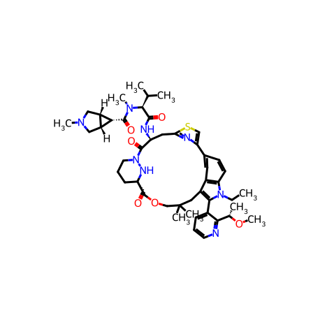 CCn1c(-c2cccnc2[C@H](C)OC)c2c3cc(ccc31)-c1csc(n1)C[C@H](NC(=O)[C@H](C(C)C)N(C)C(=O)[C@@H]1[C@@H]3CN(C)C[C@@H]31)C(=O)N1CCC[C@](C=O)(COCC(C)(C)C2)N1